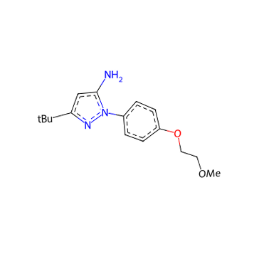 COCCOc1ccc(-n2nc(C(C)(C)C)cc2N)cc1